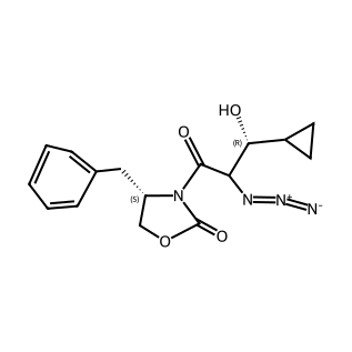 [N-]=[N+]=NC(C(=O)N1C(=O)OC[C@@H]1Cc1ccccc1)[C@H](O)C1CC1